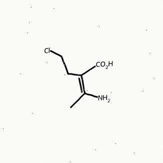 C/C(N)=C(\CCCl)C(=O)O